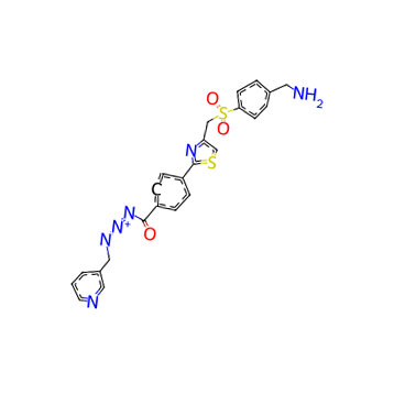 NCc1ccc(S(=O)(=O)Cc2csc(-c3ccc(C(=O)N=[N+]=NCc4cccnc4)cc3)n2)cc1